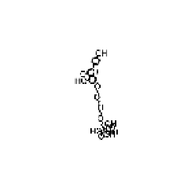 O=c1cc(-c2ccc(O)cc2)oc2cc(OCCOCCOCCOCCC(P(=O)(O)O)P(=O)(O)O)cc(O)c12